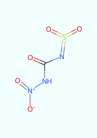 O=C(N=S(=O)=O)N[N+](=O)[O-]